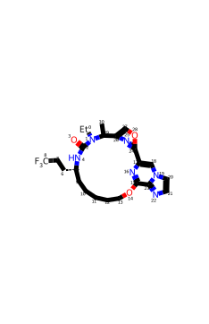 CCN1C(=O)N[C@@H](CCC(F)(F)F)CCCCCOc2nc(cn3ccnc23)-c2nc(co2)C1C